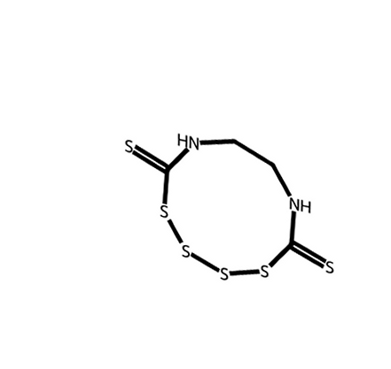 S=C1NCCNC(=S)SSSS1